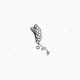 O=C(CCCC1(c2ccccc2)C2c3cc4c5c6c(cc7c8c9c%10c%11c%12c%13c(cc%14c%12c%12c%15c(c%16c3c5c(c%10c86)c%16c%12%11)C21CC%15C=%14)C=C(C7)C%139)C4)OCCc1ccsc1